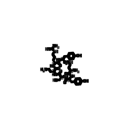 N=C(N)NCCC[C@H](NC(=O)[C@H](CCN)NC(=O)[C@H](CS)NC(=O)[C@H](Cc1ccc(O)cc1)NC(=O)[C@@H](N)CCN)C(=O)N[C@@H](Cc1ccc(O)cc1)C(=O)O